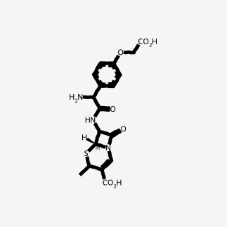 CC1S[C@@H]2C(NC(=O)C(N)c3ccc(OCC(=O)O)cc3)C(=O)N2C=C1C(=O)O